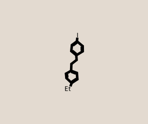 CCc1ccc(CCc2ccc(I)cc2)cc1